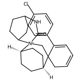 O=C1NC2CCC(CC2)[N+]12CC1(CC=CC=C1c1ccc(Cl)cc1)[C@H]1CC[C@@H]2CC1